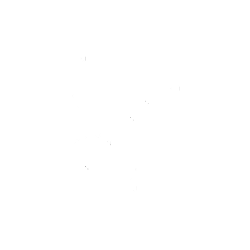 CCCCOc1ccc(S(=O)(=O)c2cnc3ccc([S+](C)[O-])cc3c2N2CCC(N3CCN(CCO)CC3)CC2)cc1